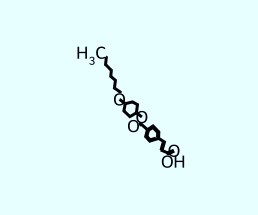 CCCCCCCCOC1CCC(OC(=O)c2ccc(C=CC(=O)O)cc2)CC1